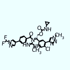 CNC(=N)N(C(=O)c1ccc(-c2cnn(C(F)F)c2)cc1)[C@H](COC(=O)NC1CC1)c1ccc(Cl)c(-c2cn(C)nn2)c1